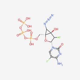 [N-]=[N+]=NC1[C@]2(COP(=O)(O)OP(=O)(O)OP(=O)(O)O)O[C@@H](n3cc(F)c(N)nc3=O)[C@H](F)[C@@]12O